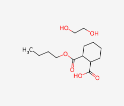 CCCCOC(=O)C1CCCCC1C(=O)O.OCCO